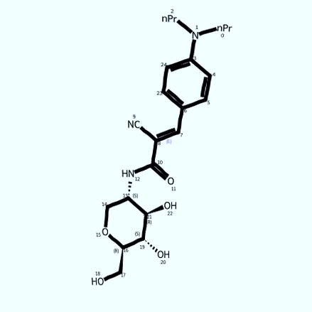 CCCN(CCC)c1ccc(/C=C(\C#N)C(=O)N[C@H]2CO[C@H](CO)[C@@H](O)[C@@H]2O)cc1